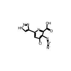 [N-]=[N+]=Nc1c(Cl)cc(-c2c[nH]nn2)nc1C(=O)O